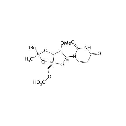 COC1C(O[Si](C)(C)C(C)(C)C)[C@H](COC(=O)O)O[C@@H]1n1ccc(=O)[nH]c1=O